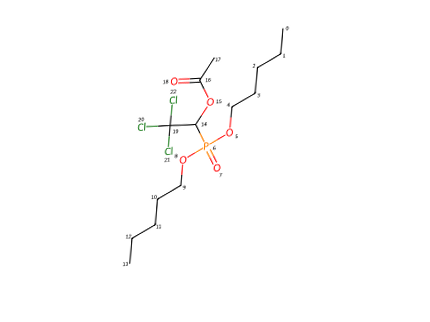 CCCCCOP(=O)(OCCCCC)C(OC(C)=O)C(Cl)(Cl)Cl